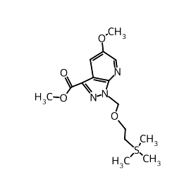 COC(=O)c1nn(COCCS(C)(C)C)c2ncc(OC)cc12